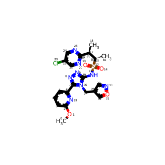 COc1cccc(-c2nnc(NS(=O)(=O)[C@@H](C)[C@H](C)c3ncc(Cl)cn3)n2Cc2cnoc2)n1